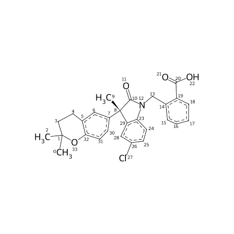 CC1(C)CCc2cc([C@]3(C)C(=O)N(Cc4ccccc4C(=O)O)c4ccc(Cl)cc43)ccc2O1